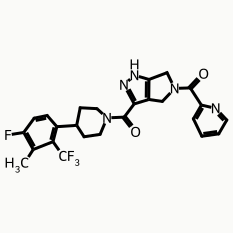 Cc1c(F)ccc(C2CCN(C(=O)c3n[nH]c4c3CN(C(=O)c3ccccn3)C4)CC2)c1C(F)(F)F